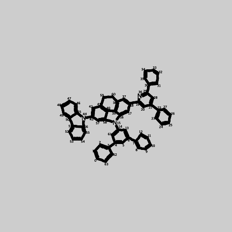 c1ccc(-c2cc(-c3ccccc3)cc(-n3c4cc(-c5cc(-c6ccccc6)cc(-c6ccccc6)n5)cc5c4c4c(cc(-n6c7ccccc7c7ccccc76)cc43)CC5)c2)cc1